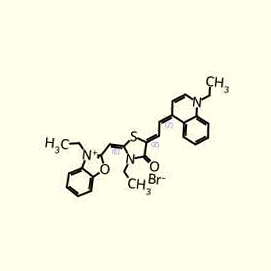 CCN1C=C/C(=C/C=c2\s/c(=C/c3oc4ccccc4[n+]3CC)n(CC)c2=O)c2ccccc21.[Br-]